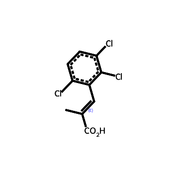 C/C(=C\c1c(Cl)ccc(Cl)c1Cl)C(=O)O